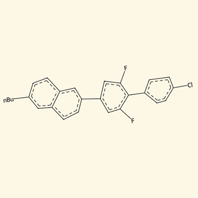 CCCCc1ccc2cc(-c3cc(F)c(-c4ccc(Cl)cc4)c(F)c3)ccc2c1